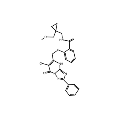 C=C(NCC1(COC)CC1)c1ccccc1OCc1[nH]c2nc(-c3ccccc3)nn2c(=O)c1Cl